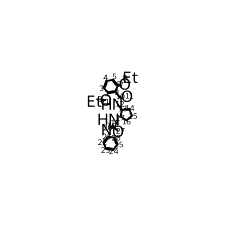 CCOc1cccc(OCC)c1C(=O)N[C@H]1CCC[C@@H]1Nc1nc2ccccc2o1